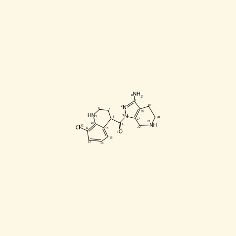 Nc1nn(C(=O)C2CCNc3c(Cl)cccc32)c2c1CCNC2